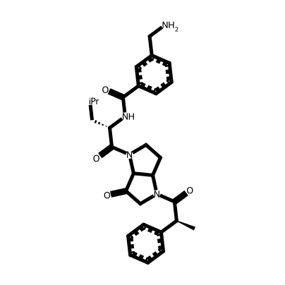 CC(C)C[C@H](NC(=O)c1cccc(CN)c1)C(=O)N1CCC2C1C(=O)CN2C(=O)[C@@H](C)c1ccccc1